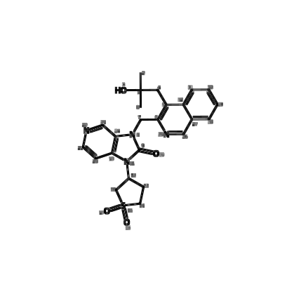 CC(C)(O)Cc1c(Cn2c(=O)n(C3CCS(=O)(=O)C3)c3ccncc32)ncc2ccccc12